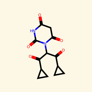 O=C1CC(=O)N(C(C(=O)C2CC2)C(=O)C2CC2)C(=O)N1